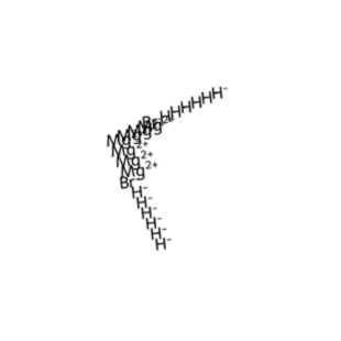 [Br-].[Br-].[H-].[H-].[H-].[H-].[H-].[H-].[H-].[H-].[H-].[H-].[H-].[H-].[Mg+2].[Mg+2].[Mg+2].[Mg+2].[Mg+2].[Mg+2].[Mg+2]